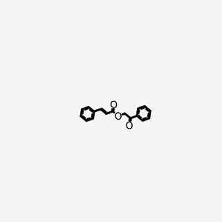 O=C(C=Cc1ccccc1)OCC(=O)c1ccccc1